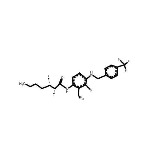 CCCC[C@H](F)[C@@H](F)C(=O)Nc1ccc(NCc2ccc(C(F)(F)F)cc2)c(F)c1N